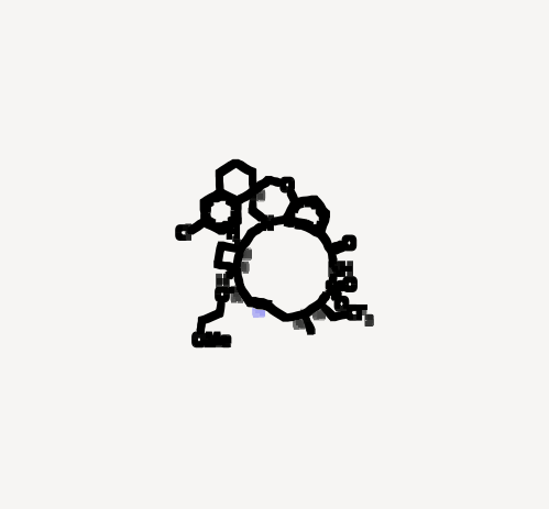 COCCO[C@H]1/C=C/C[C@H](C)[C@H](CC(F)(F)F)S(=O)(=O)NC(=O)c2ccc3c(c2)N(C[C@@H]2CC[C@H]21)C[C@@]1(CCCc2cc(Cl)ccc21)CO3